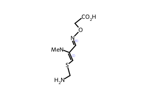 CNC(=C\SCN)/C=N/OCC(=O)O